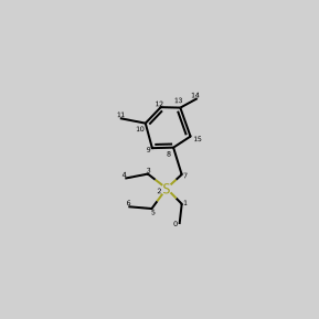 CCS(CC)(CC)Cc1cc(C)cc(C)c1